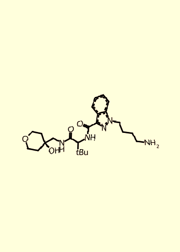 CC(C)(C)C(NC(=O)c1nn(CCCCN)c2ccccc12)C(=O)NCC1(O)CCOCC1